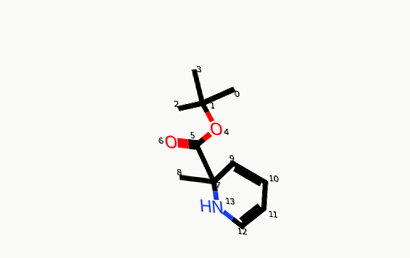 CC(C)(C)OC(=O)C1(C)C=CC=CN1